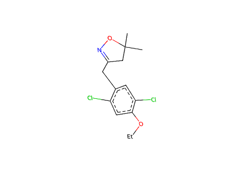 CCOc1cc(Cl)c(CC2=NOC(C)(C)C2)cc1Cl